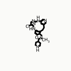 CN(Cc1ccc2cc1CCc1cncc(c1)Nc1ncc(Cl)c(n1)N2)C(=O)C1CCNCC1